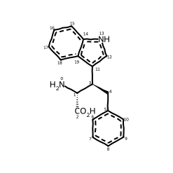 N[C@@H](C(=O)O)[C@H](Cc1ccccc1)c1c[nH]c2ccccc12